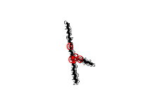 CCCCCCCCCCOCCCCC(OCCCCCCCCCC)OCOCCCCCC